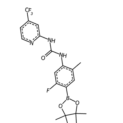 Cc1cc(B2OC(C)(C)C(C)(C)O2)c(F)cc1NC(=O)Nc1cc(C(F)(F)F)ccn1